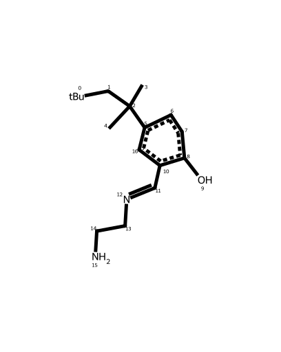 CC(C)(C)CC(C)(C)c1ccc(O)c(C=NCCN)c1